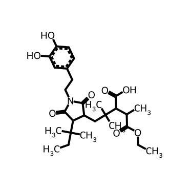 CCOC(=O)C(C)C(C(=O)O)C(C)(C)CC1C(=O)N(CCc2ccc(O)c(O)c2)C(=O)C1C(C)(C)CC